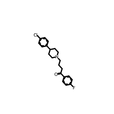 O=C(CCCN1CC[C](c2ccc(Cl)cc2)CC1)c1ccc(F)cc1